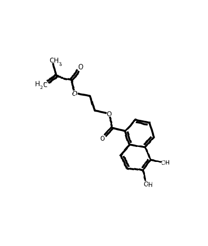 C=C(C)C(=O)OCCOC(=O)c1cccc2c(O)c(O)ccc12